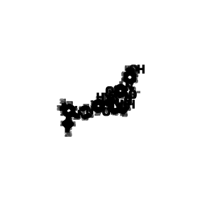 CN(c1ccc(S(=O)(=O)NC(=O)c2ccc(N3CCN(CC4=C(C56CC(C)(C5)C6)CC(C)(C)CC4)CC3)cc2Oc2cnc3[nH]ccc3c2)cc1[N+](=O)[O-])C1CCC(C)(O)CC1